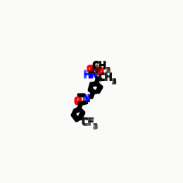 C[C@@H](NS(C)(=O)=O)c1ccc(CN2CCOC(c3cccc(C(F)(F)F)c3)C2)cc1